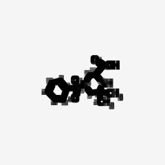 CC1(C)CN(S(=O)(=O)c2ccccc2)CC(C(=O)O)N1